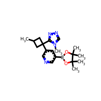 CC1CC(c2cncc(B3OC(C)(C)C(C)(C)O3)c2)(c2nncn2C)C1